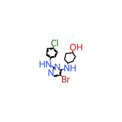 OC1CCC(Nc2nc(Nc3ccc(Cl)cc3)ncc2Br)CC1